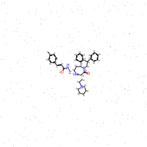 Cc1ccc(C=CC(=O)NC[C@@H]2CCN(CC(c3ccccc3)c3ccccc3)C(=O)[C@H](CCN3CCCCC3)N2)cc1